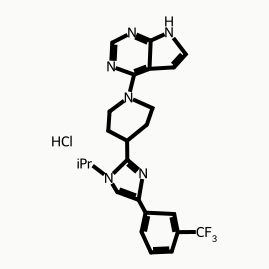 CC(C)n1cc(-c2cccc(C(F)(F)F)c2)nc1C1CCN(c2ncnc3[nH]ccc23)CC1.Cl